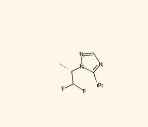 CC(C)c1ncnn1[C@@H](C)C(F)F